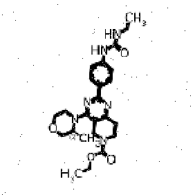 CCNC(=O)Nc1ccc(-c2nc3c(c(N4CCOC[C@@H]4C)n2)CN(C(=O)OCC)CC3)cc1